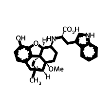 CO[C@@]12CC[C@H](N[C@@H](Cc3c[nH]c4ccccc34)C(=O)O)[C@@H]3Oc4c(O)ccc5c4[C@@]31CCN(C)[C@@H]2C5